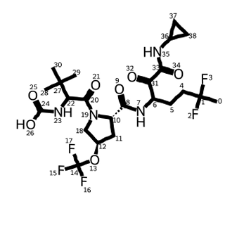 CC(F)(F)CCC(NC(=O)[C@@H]1C[C@@H](OC(F)(F)F)CN1C(=O)C(NC(=O)O)C(C)(C)C)C(=O)C(=O)NC1CC1